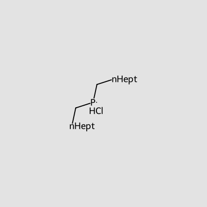 CCCCCCCC[P]CCCCCCCC.Cl